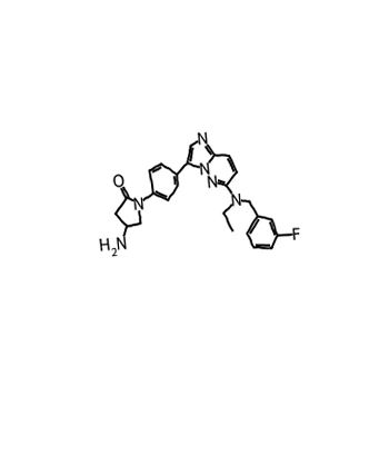 CCN(Cc1cccc(F)c1)c1ccc2ncc(-c3ccc(N4CC(N)CC4=O)cc3)n2n1